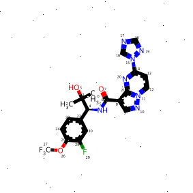 CC(C)(O)[C@@H](NC(=O)c1cnn2ccc(-n3cncn3)nc12)c1ccc(OC(F)(F)F)c(F)c1